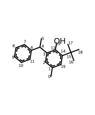 Cc1cc(C(C)c2ccccc2)c(O)c(C(C)(C)C)c1